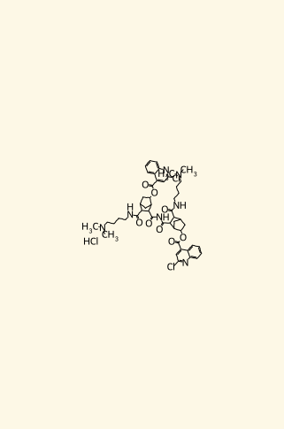 CN(C)CCCCNC(=O)C1C2CC(OC(=O)c3cc(Cl)nc4ccccc34)C(C2)C1C(=O)NC(=O)C1C2CC(CC2OC(=O)c2cc(Cl)nc3ccccc23)C1C(=O)NCCCCN(C)C.Cl